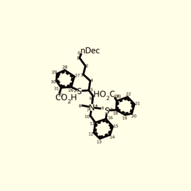 CCCCCCCCCCCCCCC(C[N+](C)(C)Cc1ccccc1Sc1ccccc1C(=O)O)Sc1ccccc1C(=O)O